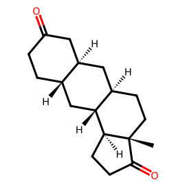 C[C@]12CC[C@@H]3C[C@@H]4CC(=O)CC[C@H]4C[C@H]3[C@@H]1CCC2=O